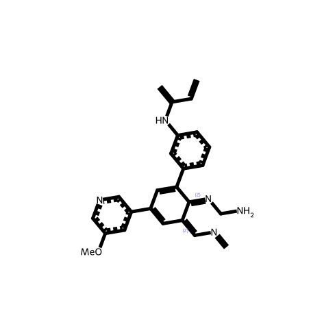 C=CC(=C)Nc1cccc(C2=CC(c3cncc(OC)c3)=CC(=C/N=C)/C2=N\CN)c1